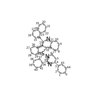 c1ccc(-c2cc(-c3cccc4nc(-c5cccc6ccccc56)c5c6ccccc6sc5c34)nc(-c3ccccc3)n2)cc1